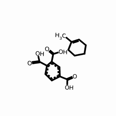 CC1=CCCCC1.O=C(O)c1ccc(C(=O)O)c(C(=O)O)c1